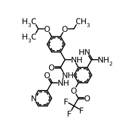 CCOc1cc(C(Nc2cc(OC(=O)C(F)(F)F)ccc2C(=N)N)C(=O)NNC(=O)c2cccnc2)ccc1OC(C)C